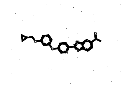 CC(=O)c1ccc2nc(-c3ccc(Oc4cccc(OCC5CC5)c4)cn3)oc2c1